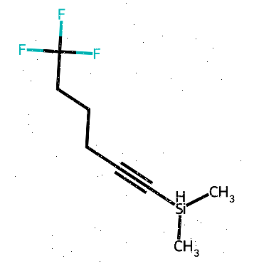 C[SiH](C)C#CCCCC(F)(F)F